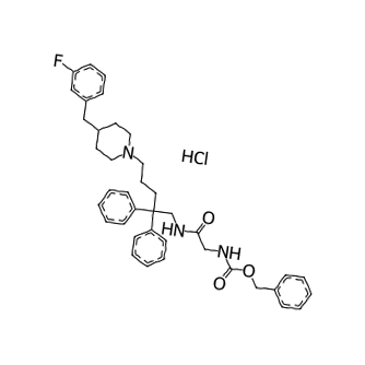 Cl.O=C(CNC(=O)OCc1ccccc1)NCC(CCCN1CCC(Cc2cccc(F)c2)CC1)(c1ccccc1)c1ccccc1